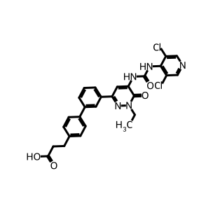 CCn1nc(-c2cccc(-c3ccc(CCC(=O)O)cc3)c2)cc(NC(=O)Nc2c(Cl)cncc2Cl)c1=O